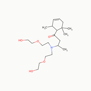 CC1C=CCC(C)(C)C1C(=O)CC(C)N(CCOCCO)CCOCCO